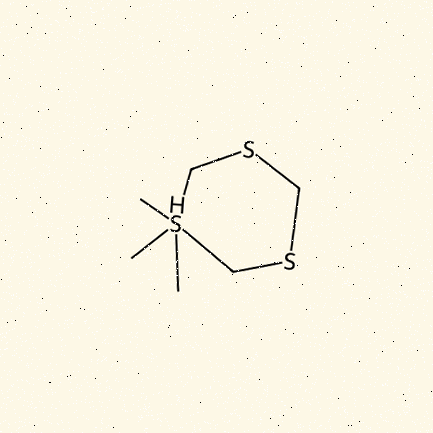 C[SH]1(C)(C)CSCSC1